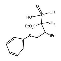 CCOC(=O)C(C)(C(CSc1ccccc1)C(C)C)P(=O)(O)O